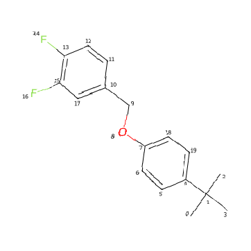 CC(C)(C)c1ccc(OCc2ccc(F)c(F)c2)cc1